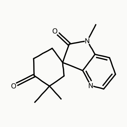 CN1C(=O)C2(CCC(=O)C(C)(C)C2)c2ncccc21